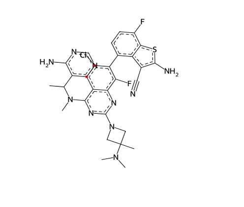 CC(c1cncnc1N)N(C)c1nc(N2CC(C)(N(C)C)C2)nc2c(F)c(-c3ccc(F)c4sc(N)c(C#N)c34)c(Cl)cc12